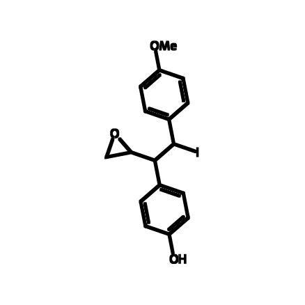 COc1ccc(C(I)C(c2ccc(O)cc2)C2CO2)cc1